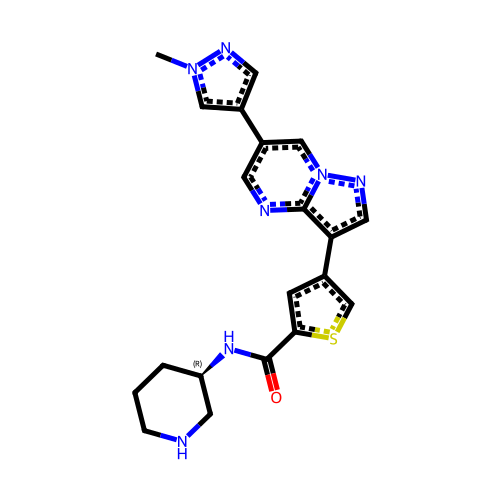 Cn1cc(-c2cnc3c(-c4csc(C(=O)N[C@@H]5CCCNC5)c4)cnn3c2)cn1